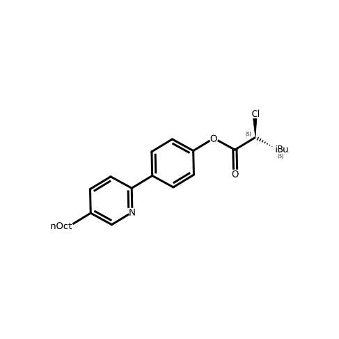 CCCCCCCCc1ccc(-c2ccc(OC(=O)[C@@H](Cl)[C@@H](C)CC)cc2)nc1